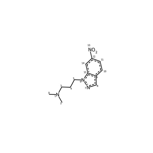 CN(C)CCCn1ncc2ccc([N+](=O)[O-])cc21